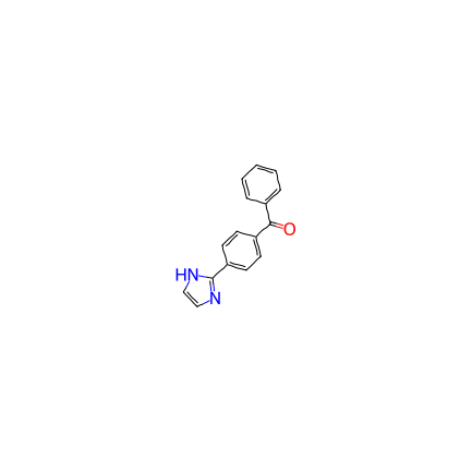 O=C(c1ccccc1)c1ccc(-c2ncc[nH]2)cc1